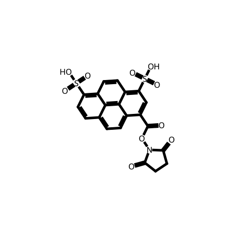 O=C(ON1C(=O)CCC1=O)c1cc(S(=O)(=O)O)c2ccc3c(S(=O)(=O)O)ccc4ccc1c2c43